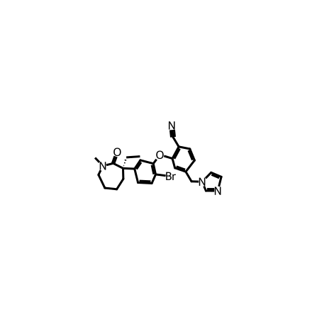 CC[C@]1(c2ccc(Br)c(Oc3cc(Cn4ccnc4)ccc3C#N)c2)CCCCN(C)C1=O